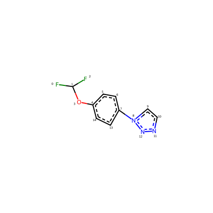 FC(F)Oc1ccc(-n2ccnn2)cc1